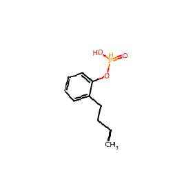 CCCCc1ccccc1O[PH](=O)O